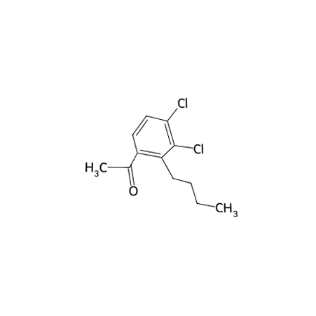 CCCCc1c(C(C)=O)ccc(Cl)c1Cl